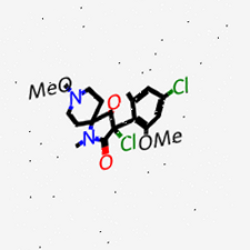 COc1cc(Cl)cc(C)c1C1(Cl)C(=O)N(C)C2(CCN(OC)CC2)C1=O